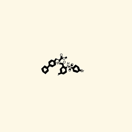 COC(=O)[C@H](Cc1ccc(-c2ccccc2)cc1)NC(=O)c1cc(I)ccc1NS(=O)(=O)c1ccc(Br)cc1